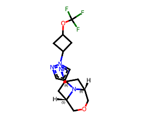 N[C@@H]1C[C@H]2COC[C@@H](C1)N2c1cnn(C2CC(OC(F)(F)F)C2)c1